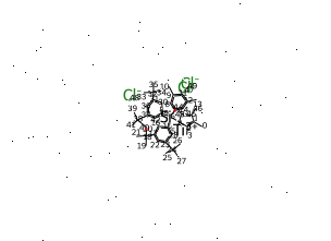 CC1=C(C)[C]([Ti+3])([Si](c2cc(C)cc(C)c2)(c2cc(C(C)(C)C)cc(C(C)(C)C)c2)c2cc(C(C)(C)C)cc(C(C)(C)C)c2)C(C)=C1C.[Cl-].[Cl-].[Cl-]